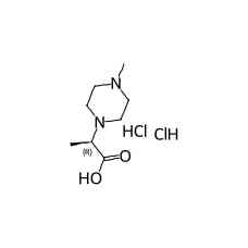 C[C@H](C(=O)O)N1CCN(C)CC1.Cl.Cl